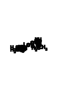 CC(C)(C)OC(=O)N1CCC[C@H]1c1nc(-c2ccc(-c3ccc(-c4nc([C@@H]5CCCN5C(=O)OC(C)(C)C)[nH]c4I)cc3)cc2)c[nH]1